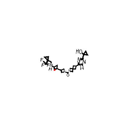 O=C(N1CC(C23CC(NCC4(C(F)(F)F)CC4)(C2)C3)C1)N1CC2(CC(c3nc(C4(O)CC4)n[nH]3)C2)C1